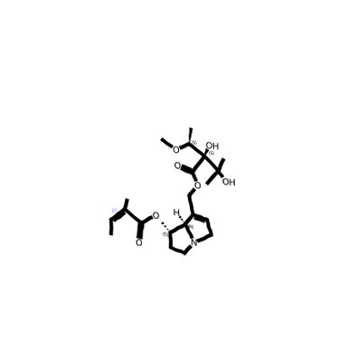 C/C=C(/C)C(=O)O[C@H]1CCN2CC=C(COC(=O)[C@](O)([C@H](C)OC)C(C)(C)O)[C@H]12